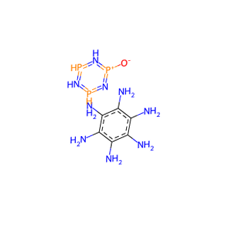 Nc1c(N)c(N)c(N)c(N)c1N.[O-][p+]1n[pH][nH][pH][nH]1